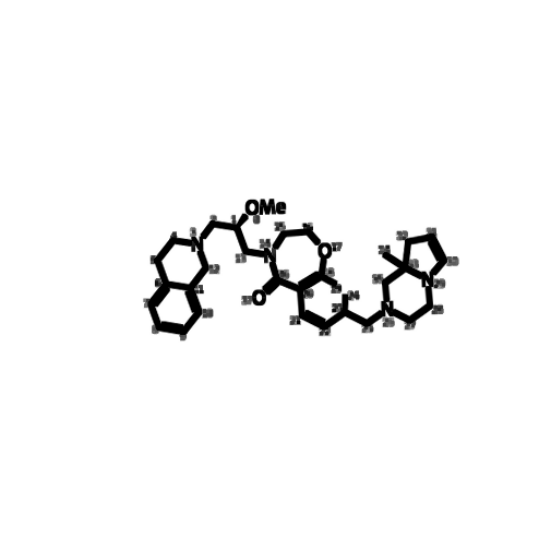 CO[C@H](CN1CCc2ccccc2C1)CN1CCOC(C)=C(/C=C\C(C)CN2CCN3C=CCC3(C)C2)C1=O